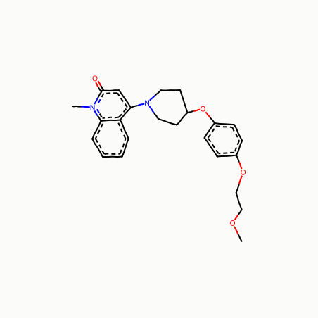 COCCOc1ccc(OC2CCN(c3cc(=O)n(C)c4ccccc34)CC2)cc1